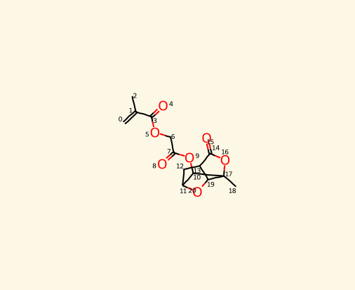 C=C(C)C(=O)OCC(=O)OC1C2CC3C(=O)OC1(C)C3O2